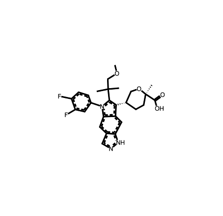 COCC(C)(C)c1c([C@H]2CC[C@](C)(C(=O)O)OC2)c2cc3[nH]ncc3cc2n1-c1ccc(F)c(F)c1